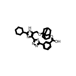 O=C(O)c1cccc(-c2nnc(-c3nc(C4CCCCC4)[nH]c3COC34CC5CC(CC(C5)C3)C4)s2)c1